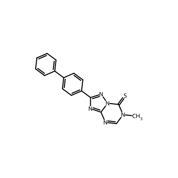 Cn1cnc2nc(-c3ccc(-c4ccccc4)cc3)nn2c1=S